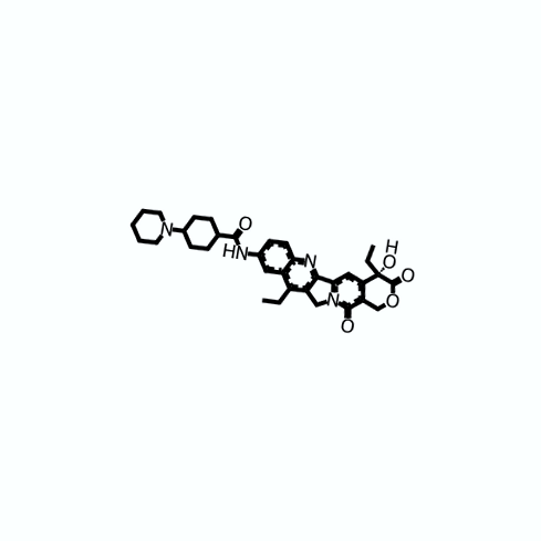 CCc1c2c(nc3ccc(NC(=O)C4CCC(N5CCCCC5)CC4)cc13)-c1cc3c(c(=O)n1C2)COC(=O)[C@]3(O)CC